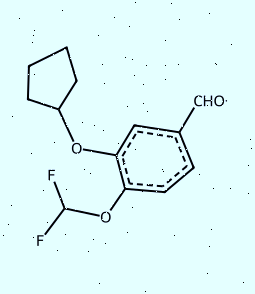 O=[C]c1ccc(OC(F)F)c(OC2CCCC2)c1